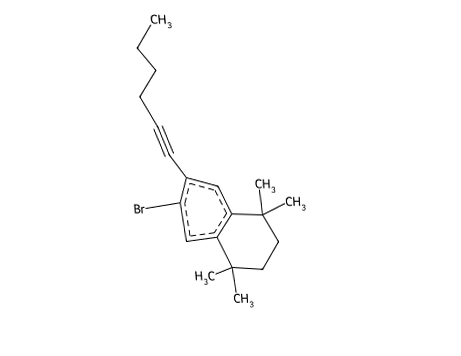 CCCCC#Cc1cc2c(cc1Br)C(C)(C)CCC2(C)C